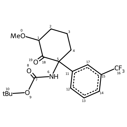 COC1CCCC(NC(=O)OC(C)(C)C)(c2cccc(C(F)(F)F)c2)C1=O